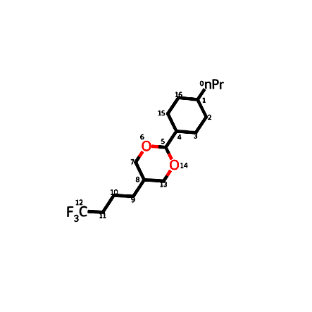 CCCC1CCC(C2OCC(CCCC(F)(F)F)CO2)CC1